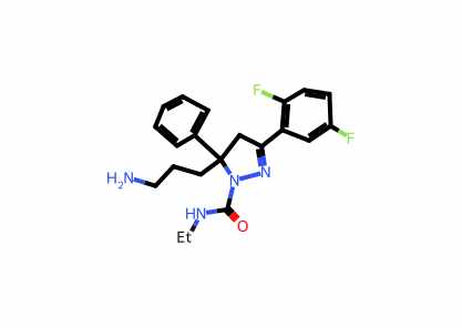 CCNC(=O)N1N=C(c2cc(F)ccc2F)CC1(CCCN)c1ccccc1